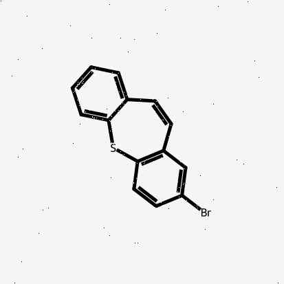 Brc1ccc2c(c1)C=Cc1ccccc1S2